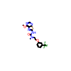 COc1ncnc2sc(NC(=O)N(C)CCOc3cccc(C(F)(F)F)c3)nc12